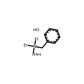 CCCCCC[N+](CC)(CC)Cc1ccccc1.[OH-]